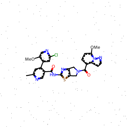 COc1cnc(Cl)cc1-c1cc(C)ncc1C(=O)Nc1nc2c(s1)CN(C(=O)c1ccc(OC)n3nccc13)C2